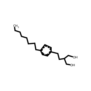 CCCCCCCCc1ccc(CCC(CO)CO)cc1